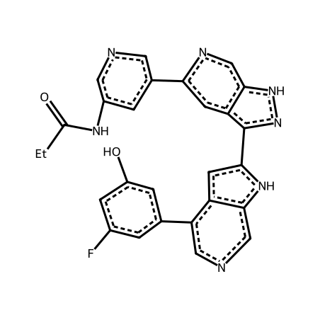 CCC(=O)Nc1cncc(-c2cc3c(-c4cc5c(-c6cc(O)cc(F)c6)cncc5[nH]4)n[nH]c3cn2)c1